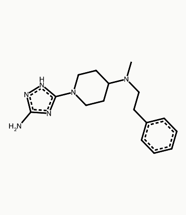 CN(CCc1ccccc1)C1CCN(c2nc(N)n[nH]2)CC1